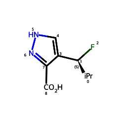 CC(C)[C@H](F)c1c[nH]nc1C(=O)O